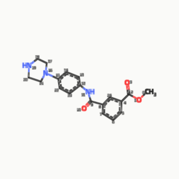 COC(=O)c1cccc(C(=O)Nc2ccc(N3CCNCC3)cc2)c1